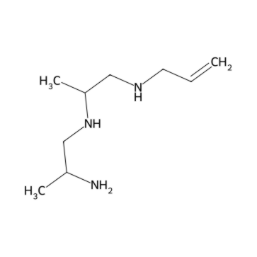 C=CCNCC(C)NCC(C)N